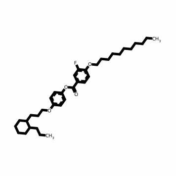 CCCCCCCCCCCOc1ccc(C(=O)Oc2ccc(OCCCC3CCCCC3CCC)cc2)cc1F